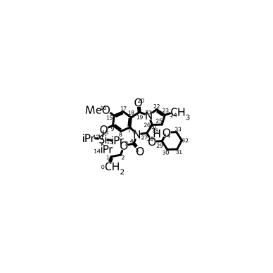 C=CCOC(=O)N1c2cc(O[Si](C(C)C)(C(C)C)C(C)C)c(OC)cc2C(=O)N2C=C(C)C[C@H]2C1OC1CCCCO1